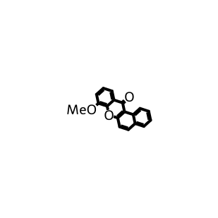 COc1cccc2c(=O)c3c(ccc4ccccc43)oc12